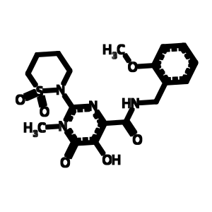 COc1ccccc1CNC(=O)c1nc(N2CCCCS2(=O)=O)n(C)c(=O)c1O